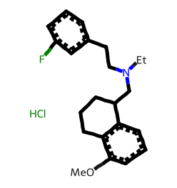 CCN(CCc1cccc(F)c1)CC1CCCc2c(OC)cccc21.Cl